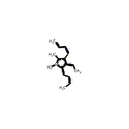 C=C/C=C\c1c(C)n(O)c(=C/C=C\C)/c1=C\C